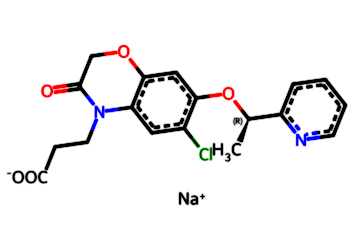 C[C@@H](Oc1cc2c(cc1Cl)N(CCC(=O)[O-])C(=O)CO2)c1ccccn1.[Na+]